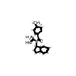 Cc1ccc(C(=O)N(C(=N)N)C2CCc3ccccc32)cc1